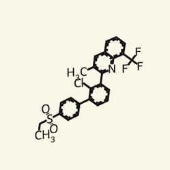 CCS(=O)(=O)c1ccc(-c2cccc(-c3nc4c(C(F)(F)F)cccc4cc3C)c2Cl)cc1